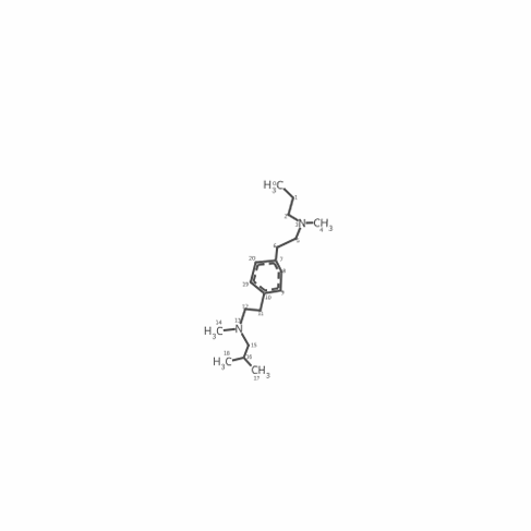 CCCN(C)CCc1ccc(CCN(C)CC(C)C)cc1